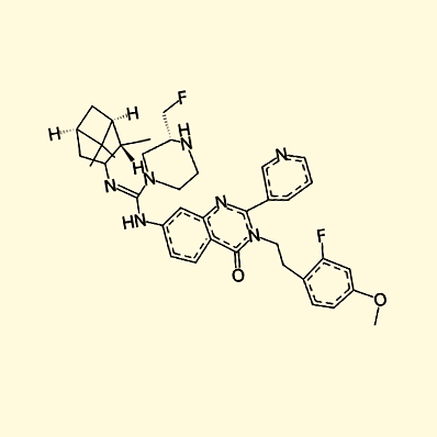 COc1ccc(CCn2c(-c3cccnc3)nc3cc(N/C(=N/C4C[C@H]5C[C@@H]([C@@H]4C)C5(C)C)N4CCN[C@@H](CF)C4)ccc3c2=O)c(F)c1